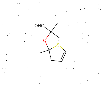 CC(C)(C=O)OC1(C)CC=CS1